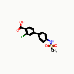 CS(=O)(=O)Nc1ccc(-c2ccc(C(=O)O)c(F)c2)cc1